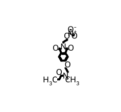 CCC(=O)N(C)CCOc1ccc2c(c1)C(=O)N(CCO[N+](=O)[O-])C2=O